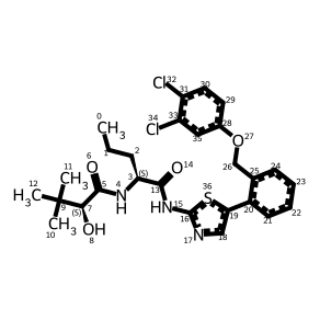 CCC[C@H](NC(=O)[C@@H](O)C(C)(C)C)C(=O)Nc1ncc(-c2ccccc2COc2ccc(Cl)c(Cl)c2)s1